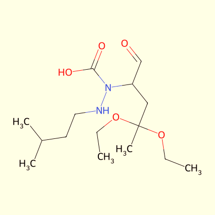 CCOC(C)(CC(C=O)N(NCCC(C)C)C(=O)O)OCC